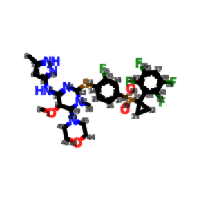 COC1C(Nc2cc(C)[nH]n2)=NC(Sc2ccc(S(=O)(=O)C3(c4c(F)c(F)cc(F)c4F)CC3)cc2F)N(C)C1N1CCOCC1